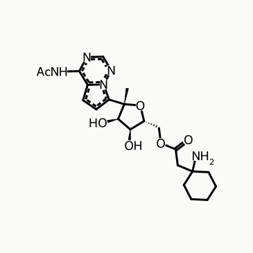 CC(=O)Nc1ncnn2c([C@]3(C)O[C@H](COC(=O)CC4(N)CCCCC4)[C@@H](O)[C@H]3O)ccc12